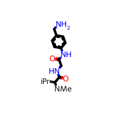 CNC(C(=O)NCC(=O)Nc1ccc(CN)cc1)C(C)C